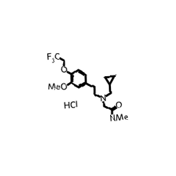 CNC(=O)CN(CCc1ccc(OCC(F)(F)F)c(OC)c1)CC1CC1.Cl